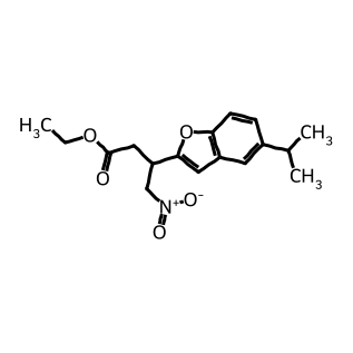 CCOC(=O)CC(C[N+](=O)[O-])c1cc2cc(C(C)C)ccc2o1